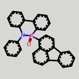 O=P1(c2ccc3c4c(cccc24)-c2ccccc2-3)c2ccccc2-c2ccccc2N1c1ccccc1